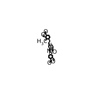 Cc1c(CCN2CCn3c(nn(-c4ccc5c(c4)COC5=O)c3=O)C2)ccc2c1COC2=O